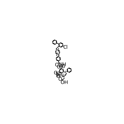 O=C(O)C[C@H](CSc1ccccc1)Nc1ccc(S(=O)(=O)NC(=O)c2ccc(N3CCN(Cc4cc(Cl)ccc4-c4ccccc4)CC3)cc2)cc1[N+](=O)[O-]